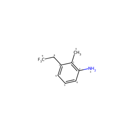 Cc1c(N)cccc1[CH]C(F)(F)F